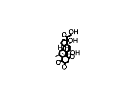 C[C@H]1C[C@@H]2[C@H]([C@@H](O)C[C@@]3(C)[C@H]2CC[C@]3(O)C(=O)CO)[C@@]2(C)C(=O)CC(=O)C(=O)C12